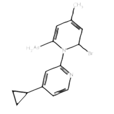 CC1=CC(Br)N(c2cc(C3CC3)ccn2)C([AsH2])=C1